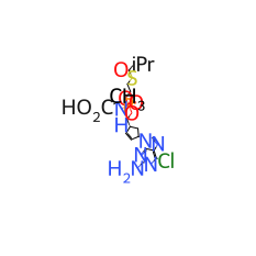 CC(C)C(=O)SCCOP(=O)(NC(C)C(=O)O)OC[C@@H]1C=C[C@H](n2cnc3c(Cl)nc(N)nc32)C1